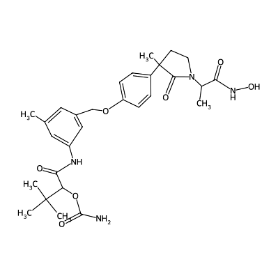 Cc1cc(COc2ccc(C3(C)CCN(C(C)C(=O)NO)C3=O)cc2)cc(NC(=O)C(OC(N)=O)C(C)(C)C)c1